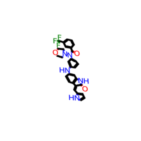 O=C1Nc2cc(Nc3cccc(N(C(=O)c4cccc(C(F)(F)F)c4)N4CCOCC4)c3)ccc2C1=Cc1ccc[nH]1